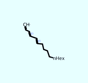 [CH]=C/C=C/C=C/CCCCCCCCCC